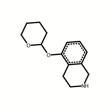 c1cc2c(c(OC3CCCCO3)c1)CCNC2